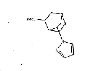 CSC1CN2CCC1C(n1cccn1)C2